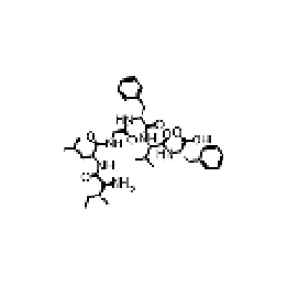 CC[C@H](C)[C@H](N)C(=O)N[C@@H](CC(C)C)C(=O)NCC(=O)N[C@@H](Cc1ccccc1)C(=O)N[C@H](C(=O)N[C@@H](Cc1ccccc1)C(=O)O)C(C)C